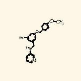 COc1ccc(COc2cc(Br)cc(CNc3cccnc3)c2)cc1